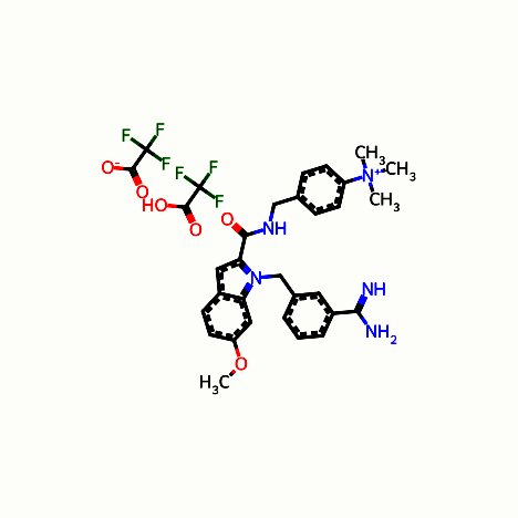 COc1ccc2cc(C(=O)NCc3ccc([N+](C)(C)C)cc3)n(Cc3cccc(C(=N)N)c3)c2c1.O=C(O)C(F)(F)F.O=C([O-])C(F)(F)F